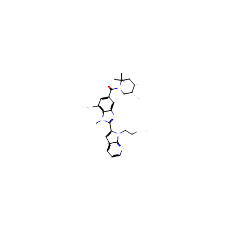 COCCn1c(-c2nc3cc(C(=O)N4C[C@H](N)CCC4(C)C)cc(OC)c3n2C)cc2cccnc21